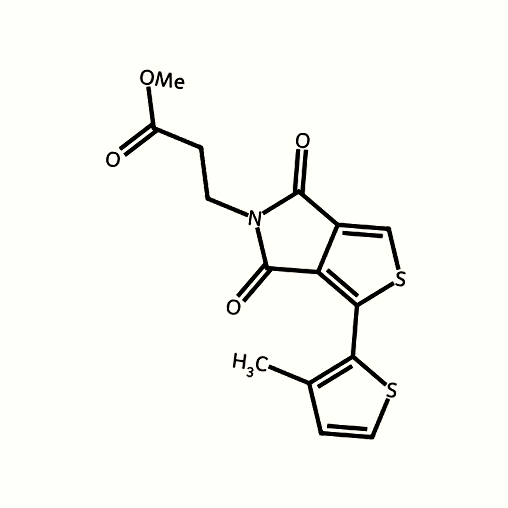 COC(=O)CCN1C(=O)c2csc(-c3sccc3C)c2C1=O